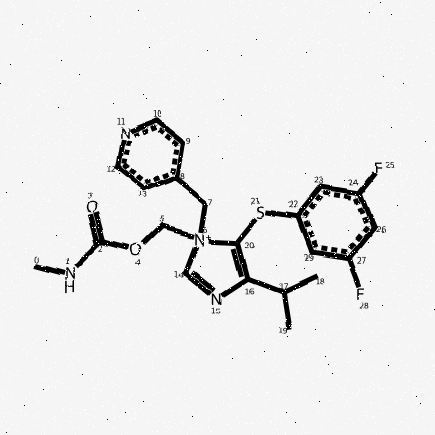 CNC(=O)OC[N+]1(Cc2ccncc2)C=NC(C(C)C)=C1Sc1cc(F)cc(F)c1